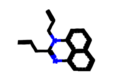 C=CCC1=Nc2cccc3cccc(c23)N1CC=C